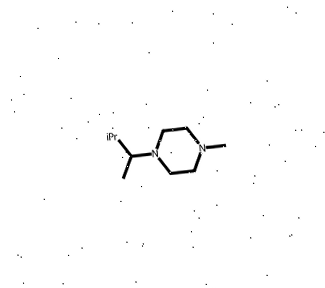 CC(C)C(C)N1CCN(C)CC1